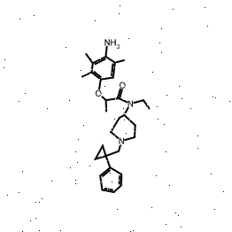 CCN(C(=O)C(C)Oc1cc(C)c(N)c(C)c1C)C1CCN(CC2(c3ccccc3)CC2)CC1